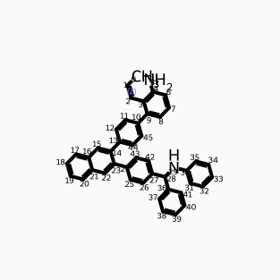 C/C=C\c1c(N)cccc1-c1ccc(-c2cc3ccccc3cc2-c2ccc(C(Nc3ccccc3)c3ccccc3)cc2)cc1